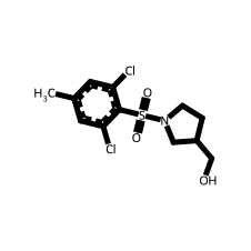 Cc1cc(Cl)c(S(=O)(=O)N2CCC(CO)C2)c(Cl)c1